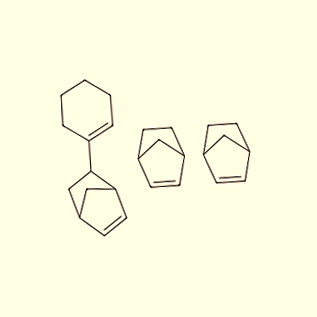 C1=CC2CC1CC2C1=CCCCC1.C1=CC2CCC1C2.C1=CC2CCC1C2